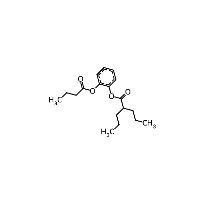 CCCC(=O)Oc1ccccc1OC(=O)C(CCC)CCC